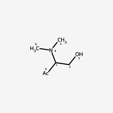 CC(=O)C(CO)N(C)C